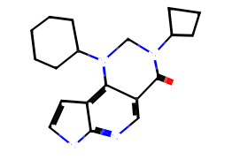 O=C1c2cnc3[nH]ccc3c2N(C2CCCCC2)CN1C1CCC1